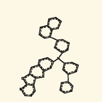 c1ccc(-c2cccc(N(c3cccc(-c4cccc5ccccc45)c3)c3ccc4cc5oc6ncccc6c5cc4c3)c2)cc1